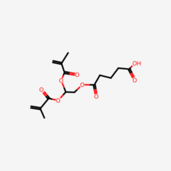 C=C(C)C(=O)OC(COC(=O)CCCC(=O)O)OC(=O)C(=C)C